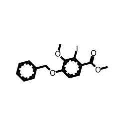 COC(=O)c1ccc(OCc2ccccc2)c(OC)c1I